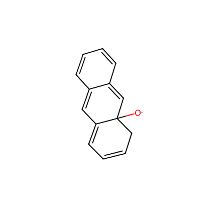 [O]C12C=c3ccccc3=CC1=CC=CC2